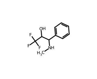 CNC(c1ccccc1)C(O)C(F)(F)F